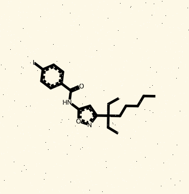 CCCCCC(CC)(CC)c1cc(NC(=O)c2ccc(I)cc2)on1